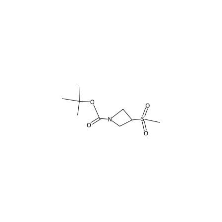 CC(C)(C)OC(=O)N1CC(S(C)(=O)=O)C1